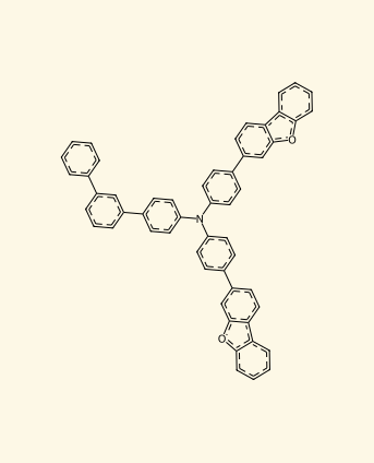 c1ccc(-c2cccc(-c3ccc(N(c4ccc(-c5ccc6c(c5)oc5ccccc56)cc4)c4ccc(-c5ccc6c(c5)oc5ccccc56)cc4)cc3)c2)cc1